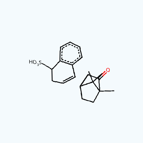 CC12CCC(CC1=O)C2(C)C.O=S(=O)(O)C1CC=Cc2ccccc21